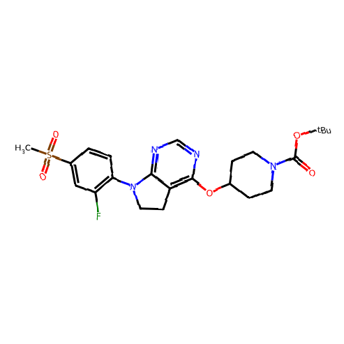 CC(C)(C)OC(=O)N1CCC(Oc2ncnc3c2CCN3c2ccc(S(C)(=O)=O)cc2F)CC1